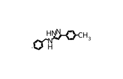 Cc1ccc(-c2cc(NCc3cc[c]cc3)[nH]n2)cc1